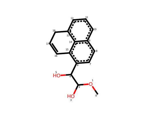 COC(O)C(O)c1ccc2cccc3c2c1C=CC3